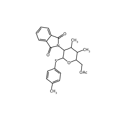 CC(=O)OCC1OC(Sc2ccc(C)cc2)C(N2C(=O)c3ccccc3C2=O)C(C)C1C